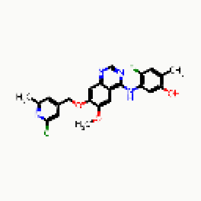 COc1cc2c(Nc3cc(O)c(C)cc3F)ncnc2cc1OCc1cc(C)nc(Cl)c1